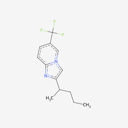 CCCC(C)c1cn2cc(C(F)(F)F)ccc2n1